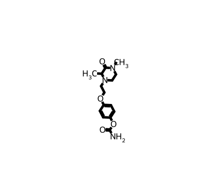 CC1C(=O)N(C)CCN1CCOc1ccc(OC(N)=O)cc1